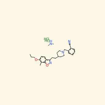 CCCOc1ccc2c(CCC3CCN(Cc4ccccc4C#N)CC3)noc2c1C.CNC.Cl.Cl